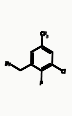 CC(C)Cc1cc(C(F)(F)F)cc(Cl)c1F